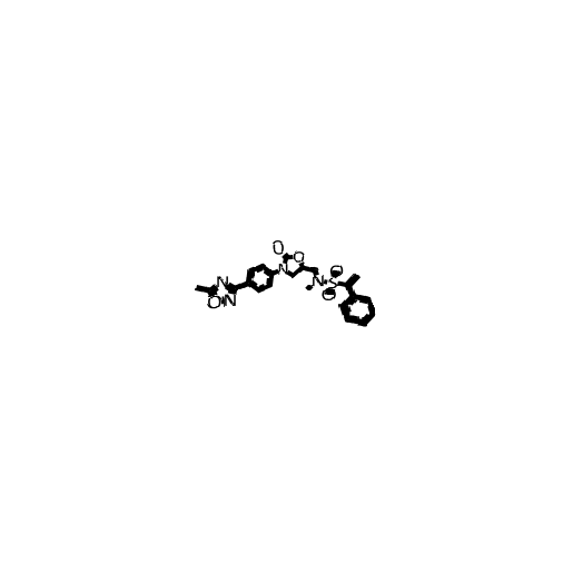 C=C(c1ccccc1)S(=O)(=O)N(C)CC1CN(c2ccc(-c3noc(C)n3)cc2)C(=O)O1